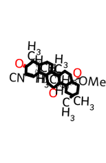 [C-]#[N+]C1=C[C@]2(C)[C@H]3CC(=O)[C@@H]4[C@@H]5CC(C)(C)CC[C@]5(C(=O)OC)CC[C@@]4(C)[C@]3(C)CC[C@H]2[C@H](C)C1=O